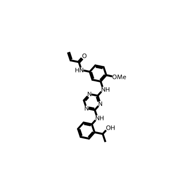 C=CC(=O)Nc1ccc(OC)c(Nc2ncnc(Nc3ccccc3C(C)O)n2)c1